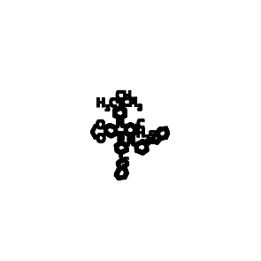 Cc1cc2c3c(c1)N(c1ccc(C(C)(C)C)cc1)c1cc4c(cc1B3c1ccc(-c3cc5ccccc5s3)cc1N2c1cccc(-c2cc3ccccc3s2)c1)OCCCO4